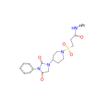 CCCNC(=O)CCS(=O)(=O)N1CCC(N2CC(=O)N(c3ccccc3)C2=O)CC1